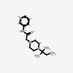 CCC(C)(C)N1CCN(CC(=O)Nc2cccnc2)CC1